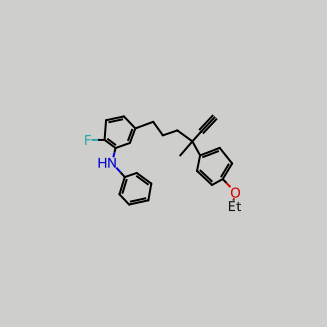 C#CC(C)(CCCc1ccc(F)c(Nc2ccccc2)c1)c1ccc(OCC)cc1